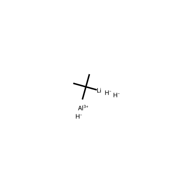 [Al+3].[H-].[H-].[H-].[Li][C](C)(C)C